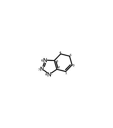 C1=CC2=C(CC1)N=N[N]2